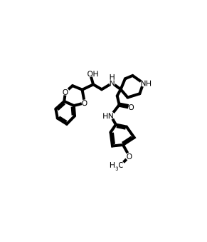 COc1ccc(NC(=O)CC2(NCC(O)C3COc4ccccc4O3)CCNCC2)cc1